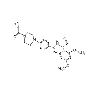 COc1cc2c(c(OC)c1)C(C=O)NC(c1ccc(N3CCN(C(=O)C4CC4)CC3)cc1)=N2